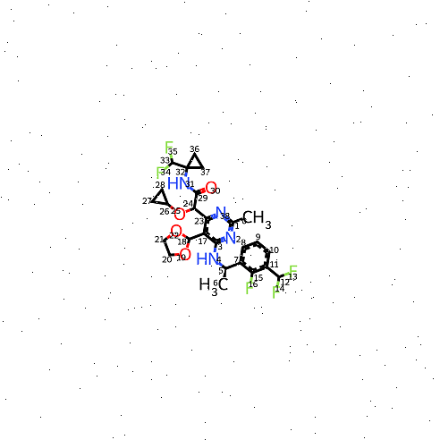 Cc1nc(N[C@H](C)c2cccc(C(F)F)c2F)c(C2OCCO2)c(C(OC2CC2)C(=O)NC2(C(F)F)CC2)n1